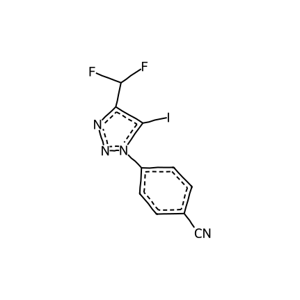 N#Cc1ccc(-n2nnc(C(F)F)c2I)cc1